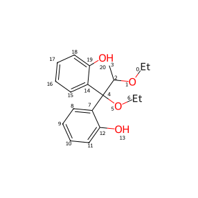 CCOC(C)C(OCC)(c1ccccc1O)c1ccccc1O